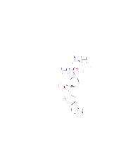 N#Cc1ccc([S+]([O-])c2cccc(NC(=O)CN)c2)cc1